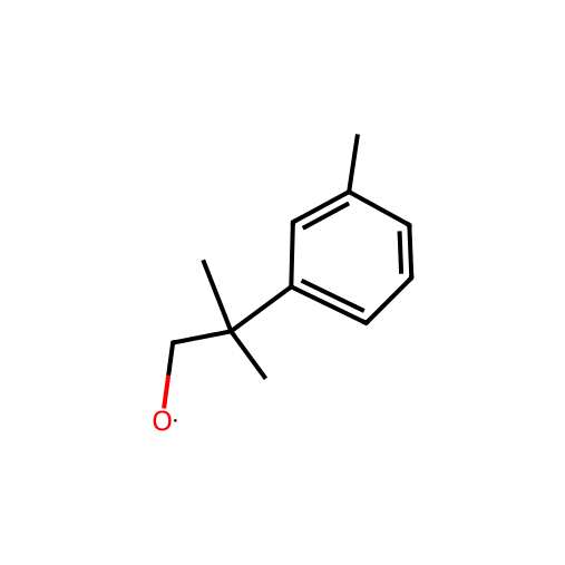 Cc1cccc(C(C)(C)C[O])c1